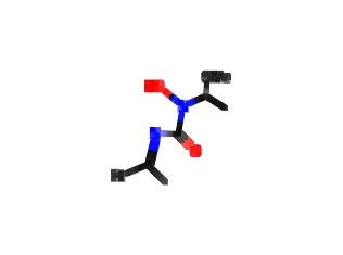 CCC(C)=NC(=O)N(O)C(C)OC